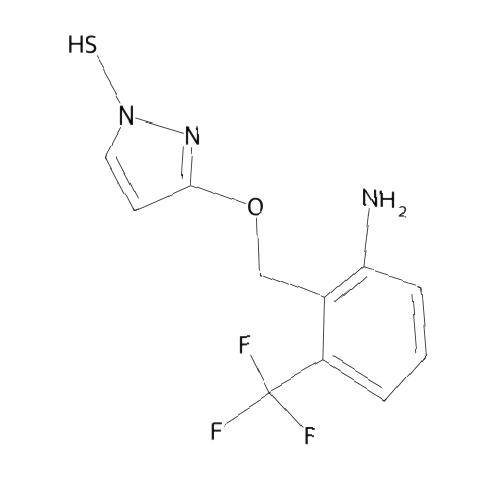 Nc1cccc(C(F)(F)F)c1COc1ccn(S)n1